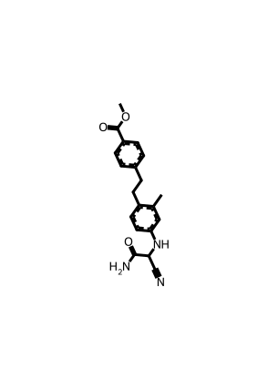 COC(=O)c1ccc(CCc2ccc(NC(C#N)C(N)=O)cc2C)cc1